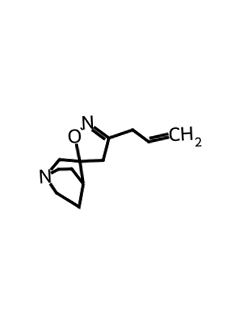 C=CCC1=NOC2(C1)CN1CCC2CC1